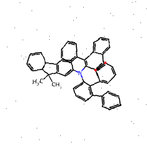 CC1(C)c2cc(N(c3cccc(-c4ccccc4)c3-c3ccccc3)c3ccc4ccccc4c3-c3ccccc3)ccc2C2C=CC=CC21